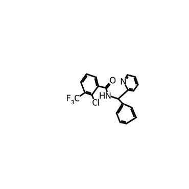 O=C(NC(c1ccccc1)c1ccccn1)c1cccc(C(F)(F)F)c1Cl